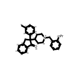 CCCc1ccccc1CN1CCC(C2(c3cccc(C)c3)Cc3ccccc3C2=O)CC1